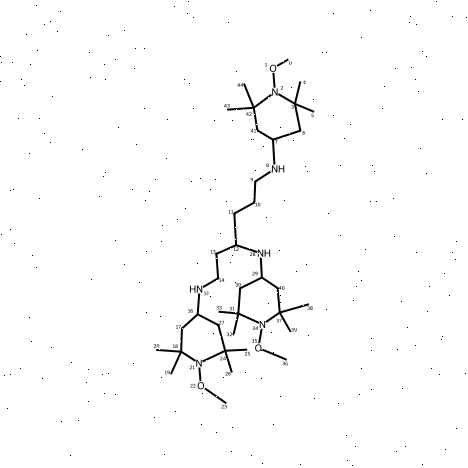 CON1C(C)(C)CC(NCCCC(CCNC2CC(C)(C)N(OC)C(C)(C)C2)NC2CC(C)(C)N(OC)C(C)(C)C2)CC1(C)C